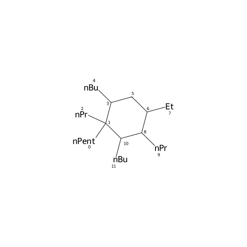 CCCCCC1(CCC)C(CCCC)CC(CC)C(CCC)C1CCCC